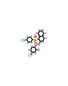 O=S(=O)(c1ccc(Cl)cc1)c1c(COc2ccc(Cl)cc2F)ccc2ccccc12